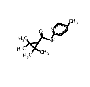 Cc1ccc(NC(=O)C2C(C)(C)C2(C)C)nc1